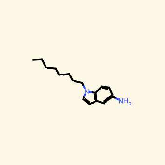 CCCCCCCCn1ccc2cc(N)ccc21